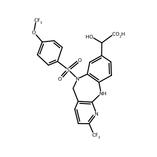 O=C(O)C(O)c1ccc2c(c1)N(S(=O)(=O)c1ccc(OC(F)(F)F)cc1)Cc1ccc(C(F)(F)F)nc1N2